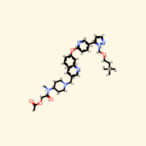 CC(=O)OCC(=O)N(C)C1CCN(Cc2cnc3cc(Oc4ccc(-c5ccnn5COCC[Si](C)(C)C)cn4)ccc3c2)CC1